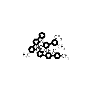 N#Cc1c(-n2c3ccccc3c3ccc(-c4ccc(C(F)(F)F)cc4C(F)(F)F)cc32)cc(-c2cc(C(F)(F)F)cc(C(F)(F)F)c2)cc1-n1c2ccccc2c2ccc(-c3ccc(C(F)(F)F)cc3C(F)(F)F)cc21